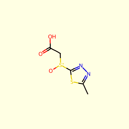 Cc1nnc([S+]([O-])CC(=O)O)s1